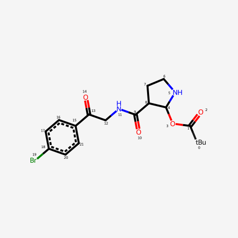 CC(C)(C)C(=O)OC1NCCC1C(=O)NCC(=O)c1ccc(Br)cc1